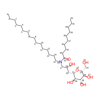 CCCCCCCCCCCCCCCCN(CC(O)C[C@@H]1O[C@H](CO)[C@@H](O)[C@H](O)[C@H]1O)C(=O)CCCCCCCCC